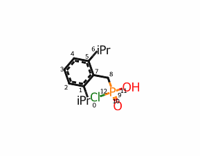 CC(C)c1cccc(C(C)C)c1CP(=O)(O)Cl